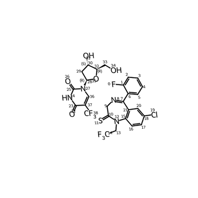 Fc1ccccc1C1=NCC(=S)N(CC(F)(F)F)c2ccc(Cl)cc21.O=c1[nH]c(=O)n([C@H]2C[C@H](O)[C@@H](CO)O2)cc1C(F)(F)F